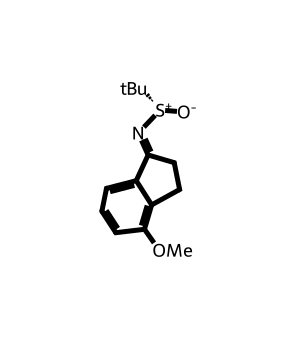 COc1cccc2c1CCC2=N[S@@+]([O-])C(C)(C)C